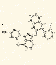 Nc1ncc(-c2nn(Cc3cc4ccccc4nc3-c3ccccc3F)c3ncnc(N)c23)cn1